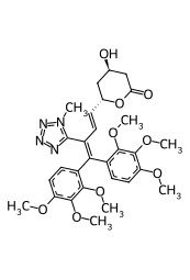 COc1ccc(C(=C(/C=C/[C@@H]2C[C@@H](O)CC(=O)O2)c2nnnn2C)c2ccc(OC)c(OC)c2OC)c(OC)c1OC